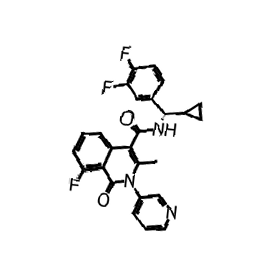 Cc1c(C(=O)N[C@H](c2ccc(F)c(F)c2)C2CC2)c2cccc(F)c2c(=O)n1-c1cccnc1